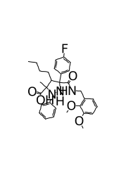 CCCCC1C(C(=O)NCc2cccc(OC)c2OC)(c2ccc(F)cc2)NN(c2ccccc2)C1(C)C(=O)O